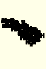 [CH2]OC(=O)N(CCCC)CC(=O)Nc1cc(N(C)C)c2c(c1O)C(=O)C1=C(O)[C@]3(O)C(=O)C(C(N)=O)=C(O)[C@@H](N(C)C)[C@@H]3C[C@@H]1C2